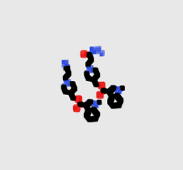 Cn1cc(C(=O)OCC2CCN(CCC#N)CC2)c2ccccc21.Cn1cc(C(=O)OCC2CCN(CCC(N)=O)CC2)c2ccccc21